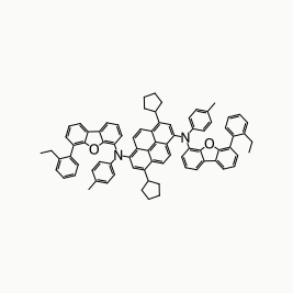 CCc1ccccc1-c1cccc2c1oc1c(N(c3ccc(C)cc3)c3cc(C4CCCC4)c4ccc5c(N(c6ccc(C)cc6)c6cccc7c6oc6c(-c8ccccc8CC)cccc67)cc(C6CCCC6)c6ccc3c4c65)cccc12